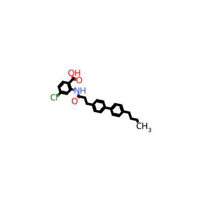 CCCCc1ccc(-c2ccc(CCC(=O)Nc3cc(Cl)ccc3C(=O)O)cc2)cc1